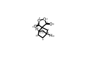 O=C1OOC(=O)C12C[C@@H]1CC[C@H]2C1